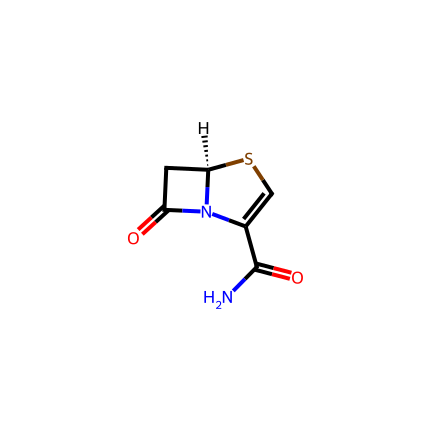 NC(=O)C1=CS[C@@H]2CC(=O)N12